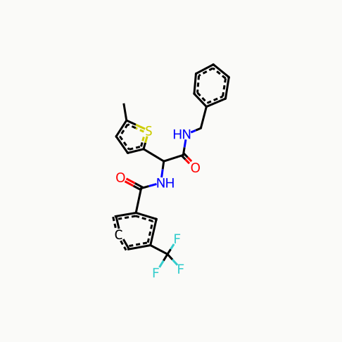 Cc1ccc(C(NC(=O)c2cccc(C(F)(F)F)c2)C(=O)NCc2ccccc2)s1